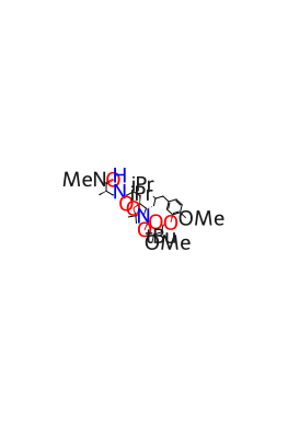 CNC(=O)[C@H](C)CNC(=O)[C@@H](C[C@@H]1OC(C)(C)N(C(=O)OC(C)(C)C)[C@H]1C[C@H](Cc1ccc(OC)c(OCCCOC)c1)C(C)C)C(C)C